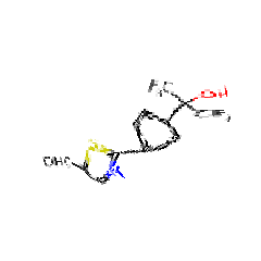 O=Cc1cnc(-c2ccc(C(O)(C(F)(F)F)C(F)(F)F)cc2)s1